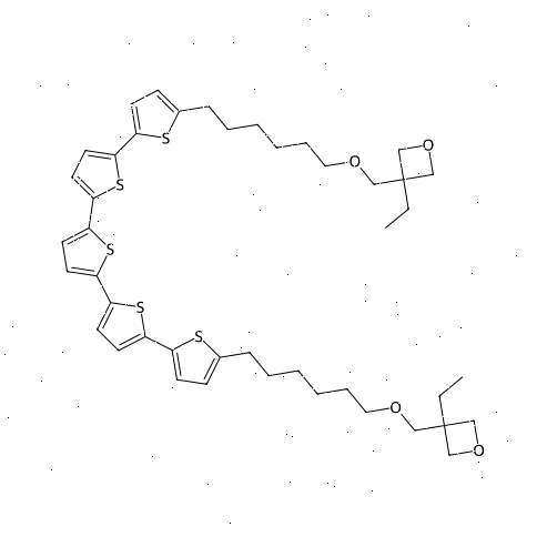 CCC1(COCCCCCCc2ccc(-c3ccc(-c4ccc(-c5ccc(-c6ccc(CCCCCCOCC7(CC)COC7)s6)s5)s4)s3)s2)COC1